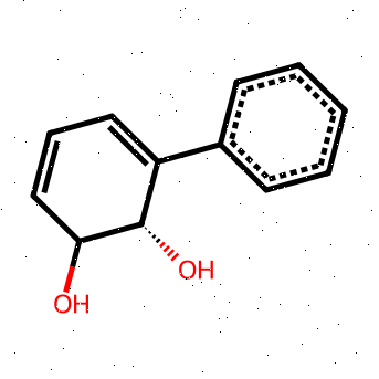 OC1C=CC=C(c2ccccc2)[C@@H]1O